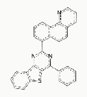 c1ccc(-c2nc(-c3cccc4c3ccc3cccnc34)nc3c2sc2ccccc23)cc1